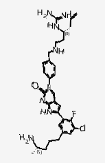 C=CC[C@H](CCNCc1ccc(-n2cc3cc(-c4cc(CCC[C@H](C)N)cc(Cl)c4F)[nH]c3nc2=O)cc1)NC(=N)N